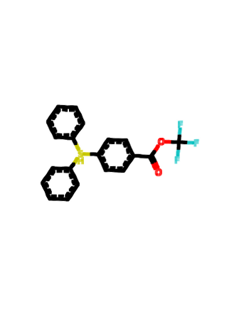 O=C(OC(F)(F)F)c1ccc([SH](c2ccccc2)c2ccccc2)cc1